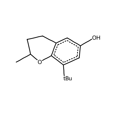 CC1CCc2cc(O)cc(C(C)(C)C)c2O1